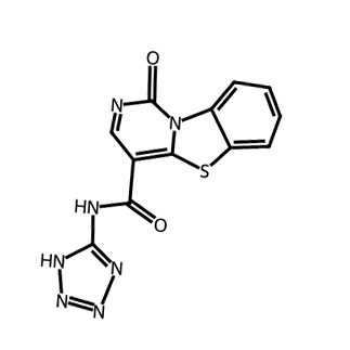 O=C(Nc1nnn[nH]1)c1cnc(=O)n2c1sc1ccccc12